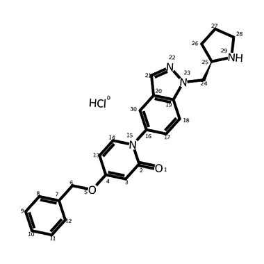 Cl.O=c1cc(OCc2ccccc2)ccn1-c1ccc2c(cnn2C[C@H]2CCCN2)c1